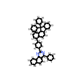 c1ccc(-c2nc(-c3ccc(-c4cccc5c6c(ccc45)-c4ccccc4C6(c4ccccc4)c4ccccc4)cc3)nc3c2ccc2ccccc23)cc1